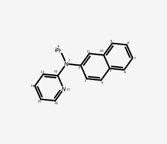 CC(C)N(c1ccc2ccccc2c1)c1ccccn1